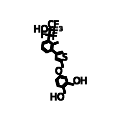 Cc1c(-c2csc(COc3ccc(CO)c(CO)c3)c2)cccc1C(F)(F)C(O)(F)C(F)(F)F